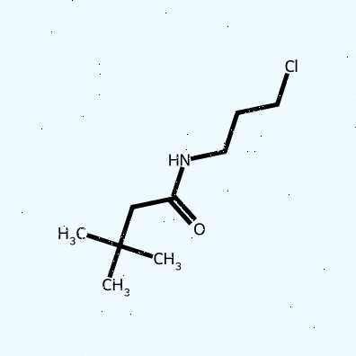 CC(C)(C)CC(=O)NCCCCl